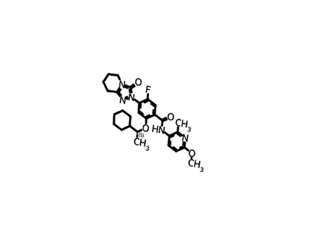 COc1ccc(NC(=O)c2cc(F)c(-n3nc4n(c3=O)CCCC4)cc2O[C@@H](C)C2CCCCC2)c(C)n1